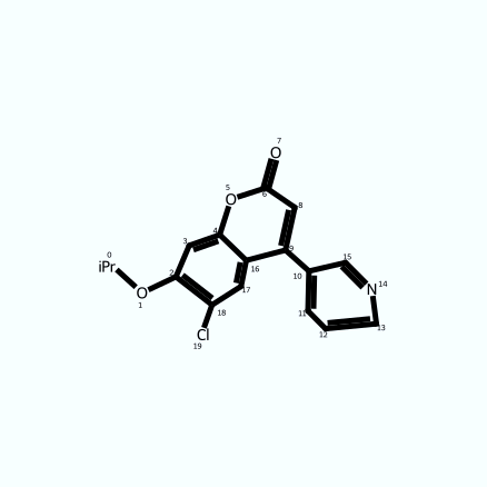 CC(C)Oc1cc2oc(=O)cc(-c3cccnc3)c2cc1Cl